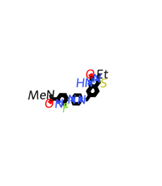 CCn1c(=O)[nH]c2cc(CN3CCN(c4ccc(C(=O)NC)nc4F)CC3)ccc2c1=S